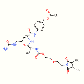 CCC(=O)OCc1ccc(NC(=O)[C@H](CCCNC(N)=O)NC(=O)[C@@H](NC(=O)OCCOCCN2C(=O)C(C(C)(C)C)=C(C(C)(C)C)C2=O)C(C)C)cc1